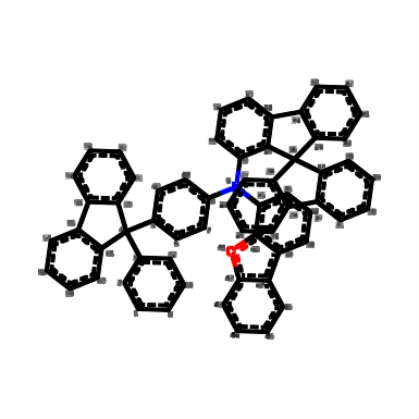 c1ccc(C2(c3ccc(N(c4cccc5c4C4(c6ccccc6-c6ccccc64)c4ccccc4-5)c4cccc5c4oc4ccccc45)cc3)c3ccccc3-c3ccccc32)cc1